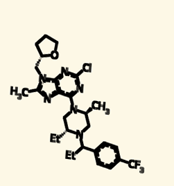 CCC(c1ccc(C(F)(F)F)cc1)N1C[C@H](C)N(c2nc(Cl)nc3c2nc(C)n3C[C@@H]2CCCO2)C[C@H]1CC